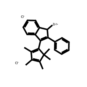 CC1=C(C)C(C)(C)C(C2=C(c3ccccc3)[CH]([Zr+2])c3ccccc32)=C1C.[Cl-].[Cl-]